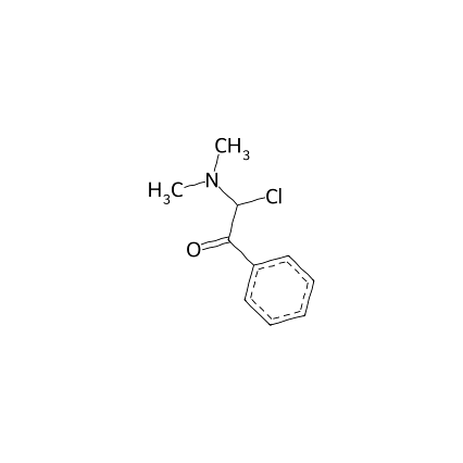 CN(C)C(Cl)C(=O)c1ccccc1